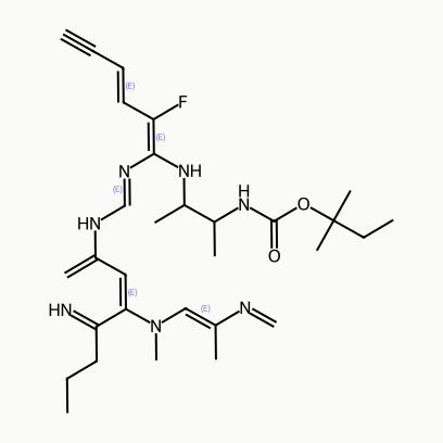 C#C/C=C/C(F)=C(\N=C\NC(=C)/C=C(\C(=N)CCC)N(C)/C=C(\C)N=C)NC(C)C(C)NC(=O)OC(C)(C)CC